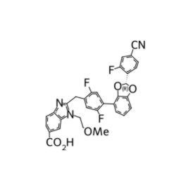 COCCn1c(Cc2cc(F)c(-c3cccc4c3O[C@H](c3ccc(C#N)cc3F)O4)cc2F)nc2ccc(C(=O)O)cc21